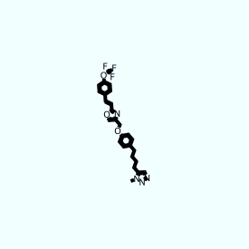 Cn1nncc1CCCCc1ccc(OCc2coc(/C=C/c3ccc(OC(F)(F)F)cc3)n2)cc1